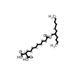 CCCCCCC(CCCC)COC(=O)CCCCCCCCC(C(=O)O)C(=O)O